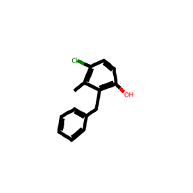 Cc1c(Cl)ccc(O)c1Cc1ccccc1